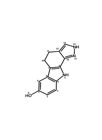 Oc1ccc2[nH]c3c(c2c1)CCc1c[nH]nc1-3